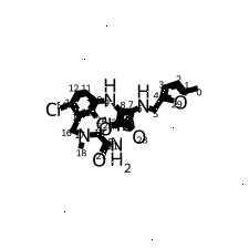 Cc1ccc(CNc2c(Nc3ccc(Cl)c(CN(C)CC(N)=O)c3C=O)c(=O)c2=O)o1